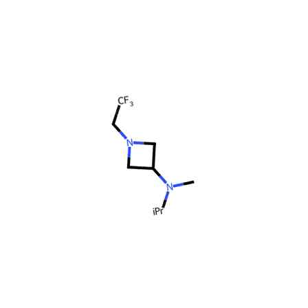 CC(C)N(C)C1CN(CC(F)(F)F)C1